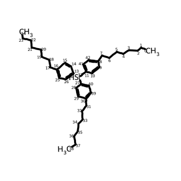 CCCCCCCCc1ccc([SiH](c2ccc(CCCCCCCC)cc2)c2ccc(CCCCCCCC)cc2)cc1